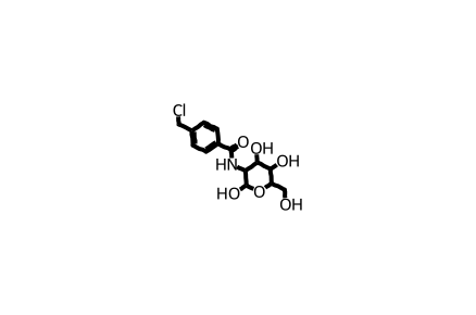 O=C(NC1C(O)OC(CO)C(O)C1O)c1ccc(CCl)cc1